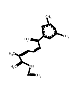 C=CNC(=C)/C(C)=C\C=C/C(=C)c1cc(C)cc(C)c1